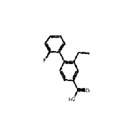 CCc1cc(C(=O)O)ccc1-c1ccccc1F